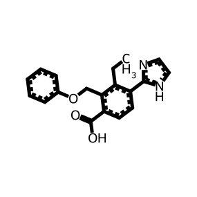 CCc1c(-c2ncc[nH]2)ccc(C(=O)O)c1COc1ccccc1